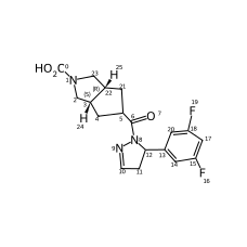 O=C(O)N1C[C@H]2CC(C(=O)N3N=CCC3c3cc(F)cc(F)c3)C[C@H]2C1